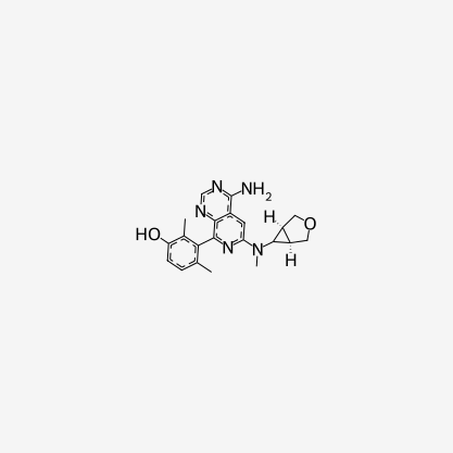 Cc1ccc(O)c(C)c1-c1nc(N(C)C2[C@H]3COC[C@@H]23)cc2c(N)ncnc12